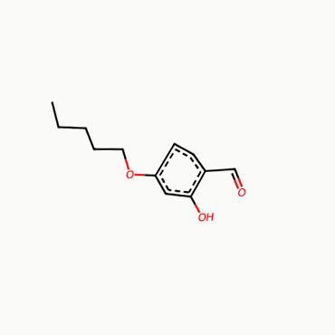 CCCCCOc1ccc(C=O)c(O)c1